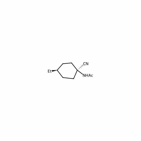 CC[C@H]1CC[C@@](C#N)(NC(C)=O)CC1